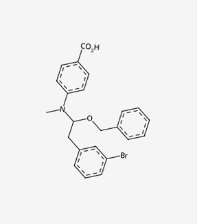 CN(c1ccc(C(=O)O)cc1)C(Cc1cccc(Br)c1)OCc1ccccc1